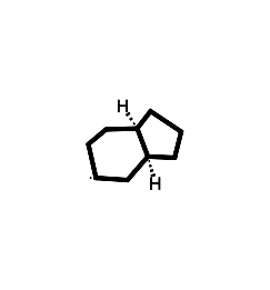 [CH]1CC[C@H]2CCC[C@H]2C1